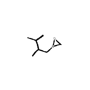 CC(C)C(C)CN1[CH]O1